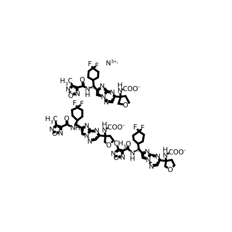 Cc1nonc1C(=O)N[C@H](c1cn2ncc(C3(NC(=O)[O-])CCOC3)nc2n1)C1CCC(F)(F)CC1.Cc1nonc1C(=O)N[C@H](c1cn2ncc(C3(NC(=O)[O-])CCOC3)nc2n1)C1CCC(F)(F)CC1.Cc1nonc1C(=O)N[C@H](c1cn2ncc(C3(NC(=O)[O-])CCOC3)nc2n1)C1CCC(F)(F)CC1.[N+3]